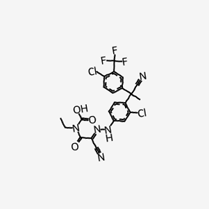 CCN(C(=O)O)C(=O)/C(C#N)=N/Nc1ccc(C(C)(C#N)c2ccc(Cl)c(C(F)(F)F)c2)c(Cl)c1